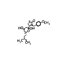 C=CC(C)CC[C@@H]1C[C@H](O)C[C@](O)(C2CSC(=O)N2Cc2ccc(OC)cc2)O1